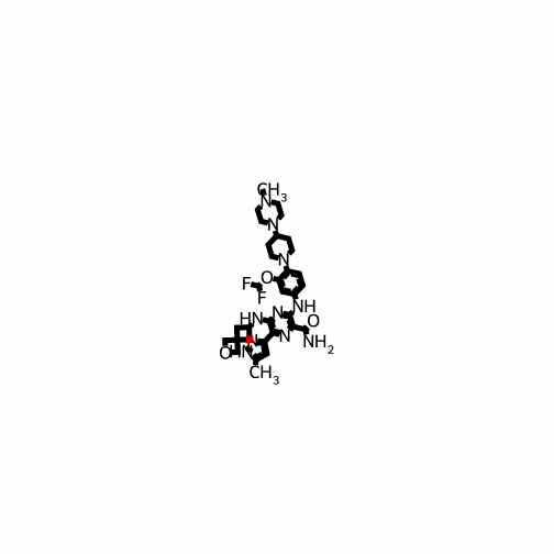 Cc1cc(-c2nc(C(N)=O)c(Nc3ccc(N4CCC(N5CCN(C)CC5)CC4)c(OC(F)F)c3)nc2NC2CC3(COC3)C2)n[nH]1